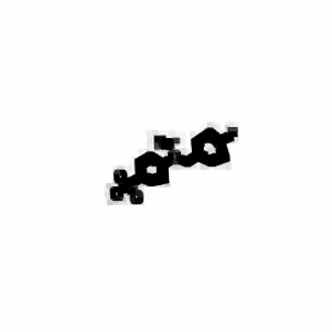 O=S(=O)([O-])c1ccc(OCc2ccc(F)cc2)cc1.[Na+]